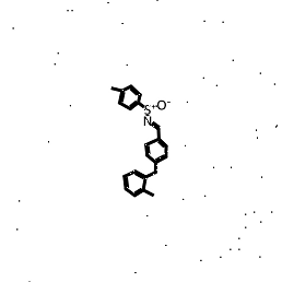 Cc1ccc([S+]([O-])/N=C/c2ccc(Cc3ccccc3C)cc2)cc1